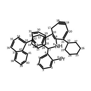 CC(C)c1ccccc1C(NC1=C(C2CCCCC2)CC#CC=C1C1CCCCC1)c1cccc(-c2cccc3ccccc23)n1